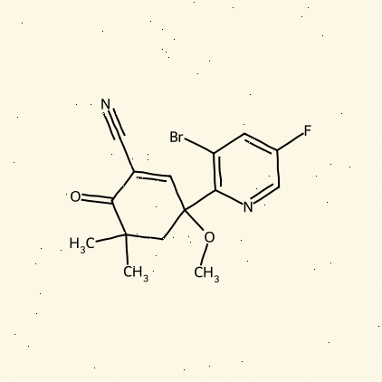 COC1(c2ncc(F)cc2Br)C=C(C#N)C(=O)C(C)(C)C1